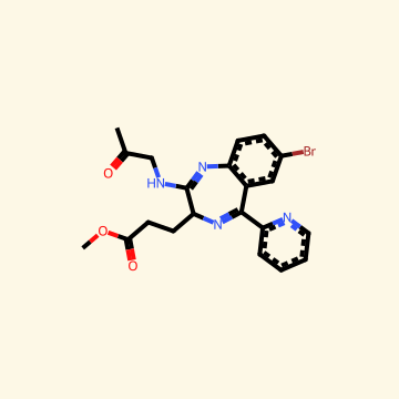 COC(=O)CCC1N=C(c2ccccn2)c2cc(Br)ccc2N=C1NCC(C)=O